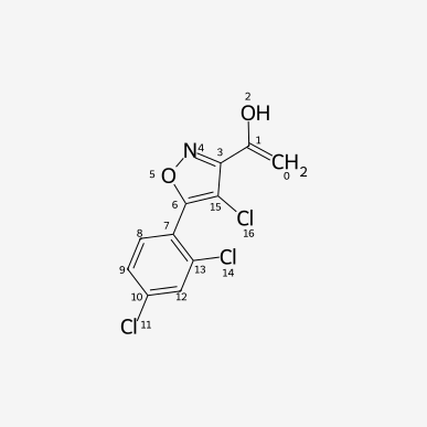 C=C(O)c1noc(-c2ccc(Cl)cc2Cl)c1Cl